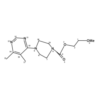 COCCOC(=O)N1CCN(c2ncnc(C)c2C)CC1